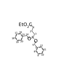 CCOC(=O)CCCC(OCc1ccccc1)OCc1ccccc1